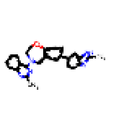 Cc1nc(N2CCOc3ccc(-c4ccc5nc(C)[nH]c5c4)cc3C2)c2ccccc2n1